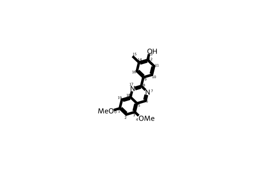 COc1cc(OC)c2cnc(-c3ccc(O)c(C)c3)nc2c1